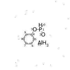 C[PH](=O)Oc1ccccc1.[AlH3]